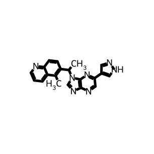 Cc1c(C(C)n2cnc3ncc(-c4cn[nH]c4)nc32)ccc2ncccc12